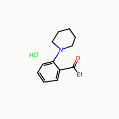 CCC(=O)c1ccccc1N1CCCCC1.Cl